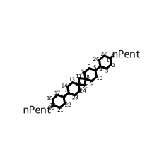 CCCCCC1CCC(C2CCC3(CC2)CC2(CCC(C4CCC(CCCCC)CC4)CC2)C3)CC1